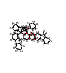 CC1(C)c2ccccc2-c2ccc(N(c3ccc4c(c3)C3(c5ccccc5-c5ccccc53)c3cccc5c6ccccc6n-4c35)c3ccccc3-c3ccccc3-c3ccccc3)cc21